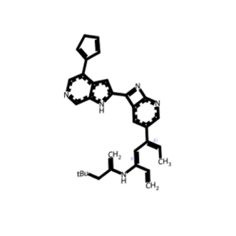 C=C/C(=C\C(=C/C)c1cnc2c(c1)C(c1cc3c(C4=CCC=C4)cncc3[nH]1)=N2)NC(=C)CC(C)(C)C